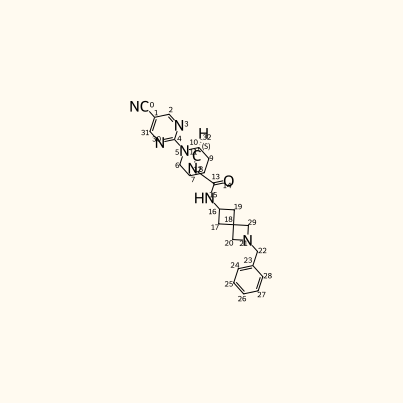 N#Cc1cnc(N2CC3CC[C@H]2CN3C(=O)NC2CC3(C2)CN(Cc2ccccc2)C3)nc1